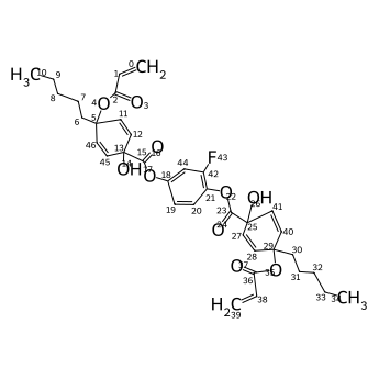 C=CC(=O)OC1(CCCCC)C=CC(O)(C(=O)Oc2ccc(OC(=O)C3(O)C=CC(CCCCC)(OC(=O)C=C)C=C3)c(F)c2)C=C1